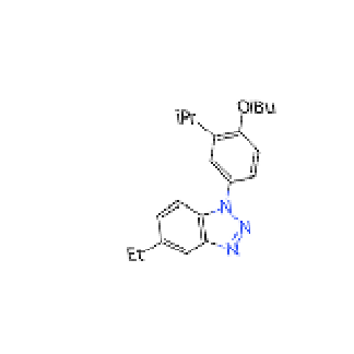 CCc1ccc2c(c1)nnn2-c1ccc(OCC(C)C)c(C(C)C)c1